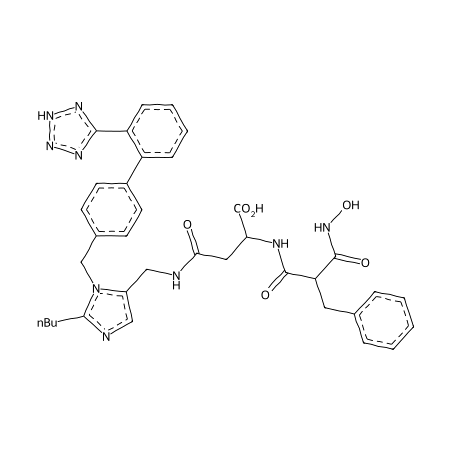 CCCCc1ncc(CNC(=O)CC(NC(=O)C(Cc2ccccc2)C(=O)NO)C(=O)O)n1Cc1ccc(-c2ccccc2-c2nn[nH]n2)cc1